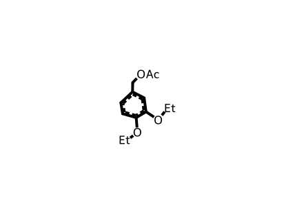 CCOc1ccc(COC(C)=O)cc1OCC